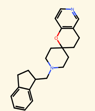 c1ccc2c(c1)CCC2CN1CCC2(CCc3cnccc3O2)CC1